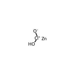 [O-][Cl+]O.[Zn]